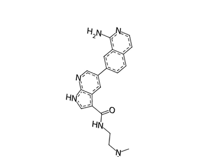 CN(C)CCNC(=O)c1c[nH]c2ncc(-c3ccc4ccnc(N)c4c3)cc12